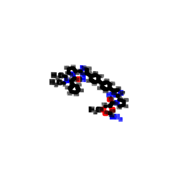 CCN(CC)[C@@H](C(=O)N1CCC[C@H]1c1ncc(-c2ccc(-c3ccc(-c4cnc([C@@H]5CCCN5C(=O)[C@H](COC)OC(N)=O)[nH]4)cc3)cc2)[nH]1)c1ccccc1